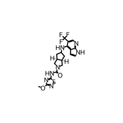 COc1nsc(NC(=O)N2C[C@H]3CC(Nc4c(C(F)(F)F)cnc5[nH]ccc45)C[C@H]3C2)n1